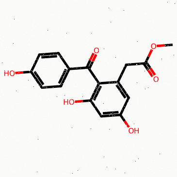 COC(=O)Cc1cc(O)cc(O)c1C(=O)c1ccc(O)cc1